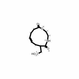 O=C(O)CC1CC=CCCC(=O)OCCNC1=O